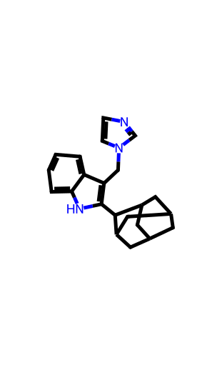 c1ccc2c(Cn3ccnc3)c(C3C4CC5CC(C4)CC3C5)[nH]c2c1